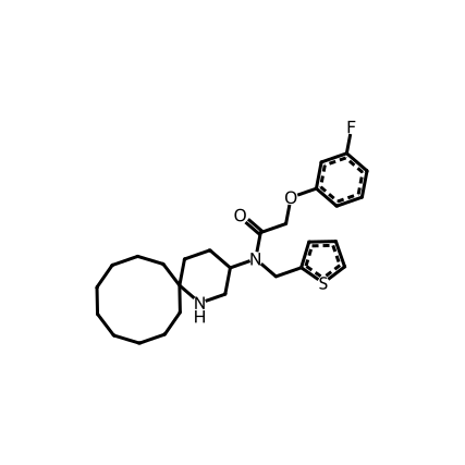 O=C(COc1cccc(F)c1)N(Cc1cccs1)C1CCC2(CCCCCCCCC2)NC1